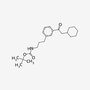 CC(C)(C)OC(=O)NCCCc1cccc(C(=O)CC2CCCCC2)c1